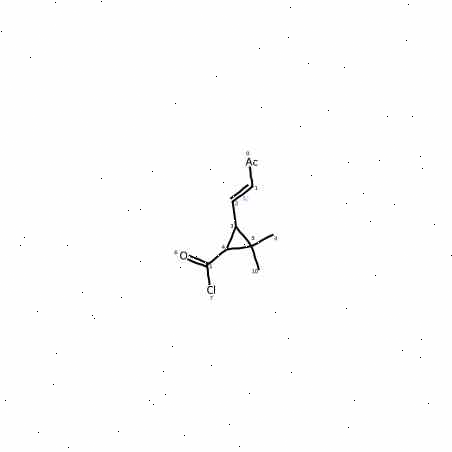 CC(=O)/C=C/C1C(C(=O)Cl)C1(C)C